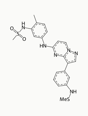 CSNc1cccc(-c2cnn3ccc(Nc4ccc(C)c(NS(C)(=O)=O)c4)nc23)c1